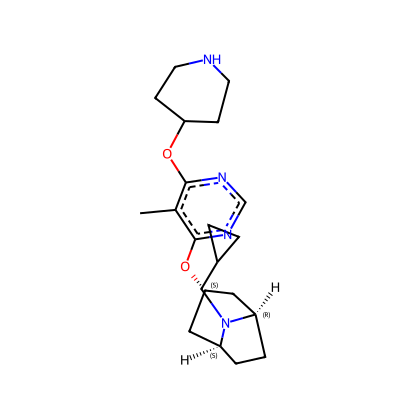 Cc1c(OC2CCNCC2)ncnc1O[C@@H]1C[C@H]2CC[C@@H](C1)N2CC1CC1